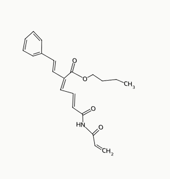 C=CC(=O)NC(=O)C=CC=C(C=Cc1ccccc1)C(=O)OCCCC